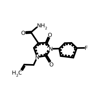 C=CCn1cc(C(N)=O)c(=O)n(-c2ccc(F)cc2)c1=O